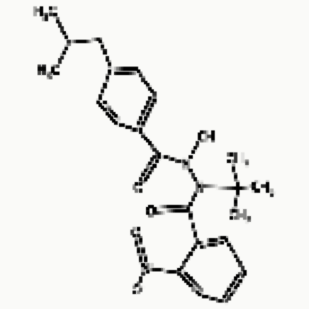 CC(C)Cc1ccc(C(=O)N(C)N(C(=O)c2ccccc2[N+](=O)[O-])C(C)(C)C)cc1